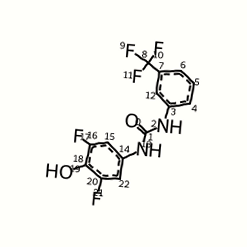 O=C(Nc1cccc(C(F)(F)F)c1)Nc1cc(F)c(O)c(F)c1